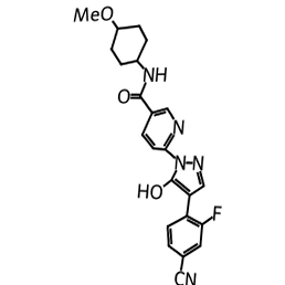 COC1CCC(NC(=O)c2ccc(-n3ncc(-c4ccc(C#N)cc4F)c3O)nc2)CC1